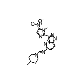 CC1CCN(C=Nc2ccc3nnc(-c4ncc([N+](=O)[O-])n4C)n3n2)CC1